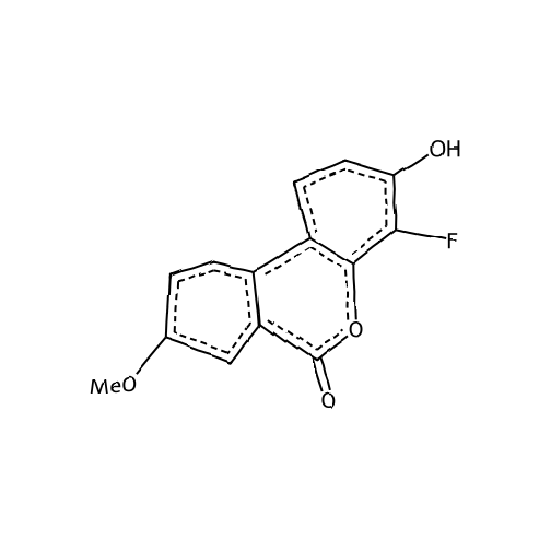 COc1ccc2c(c1)c(=O)oc1c(F)c(O)ccc12